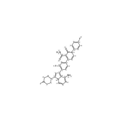 CN1CCC(c2cc(-c3ccc(-c4ccn(-c5ccc(F)cc5)c(=O)c4C(N)=O)cc3F)c3c(N)ncnn23)CC1